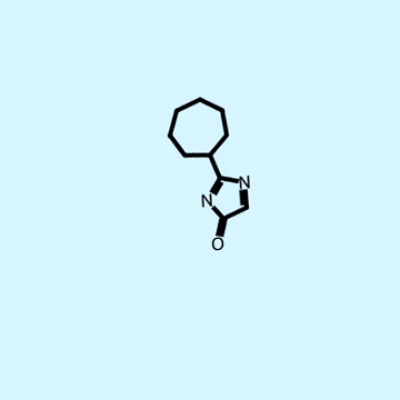 O=C1C=NC(C2CCCCCC2)=N1